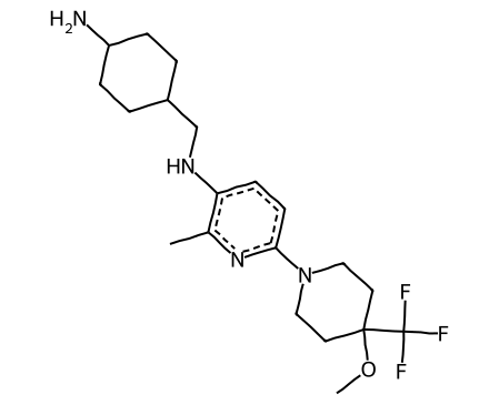 COC1(C(F)(F)F)CCN(c2ccc(NCC3CCC(N)CC3)c(C)n2)CC1